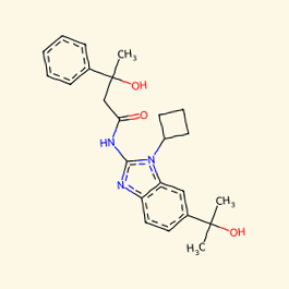 CC(C)(O)c1ccc2nc(NC(=O)CC(C)(O)c3ccccc3)n(C3CCC3)c2c1